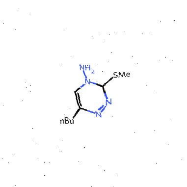 CCCCC1=CN(N)C(SC)N=N1